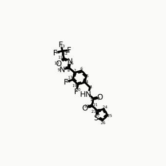 O=C(NCc1ccc(-c2noc(C(F)(F)F)n2)c(F)c1F)C(=O)c1cccs1